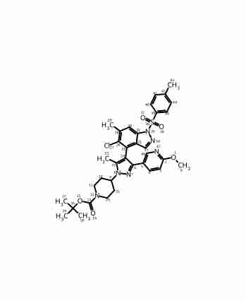 COc1ccc(-c2nn(C3CCN(C(=O)OC(C)(C)C)CC3)c(C)c2-c2c(Cl)c(C)cc3c2cnn3S(=O)(=O)c2ccc(C)cc2)cn1